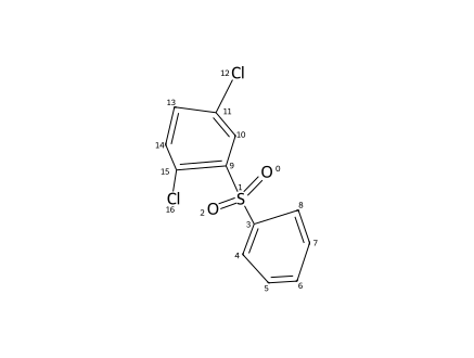 O=S(=O)(c1ccccc1)c1cc(Cl)ccc1Cl